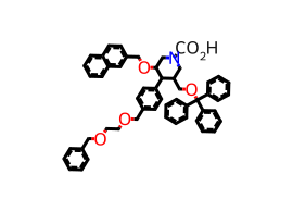 O=C(O)N1CC(COC(c2ccccc2)(c2ccccc2)c2ccccc2)C(c2ccc(COCCOCc3ccccc3)cc2)C(OCc2ccc3ccccc3c2)C1